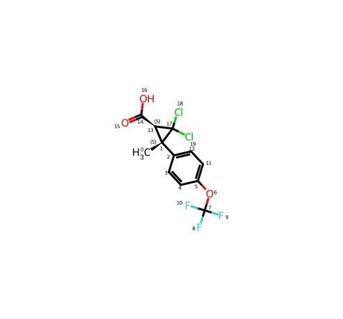 C[C@@]1(c2ccc(OC(F)(F)F)cc2)[C@@H](C(=O)O)C1(Cl)Cl